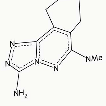 CNc1nn2c(N)nnc2c2c1CCCC2